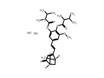 COc1cc(/C=C/C2=CC(=O)[C@H]3C[C@@H]2C3(C)C)cc(OC(=O)[C@@H](N)C(C)C)c1OC(=O)C(N)C(C)C.Cl.Cl